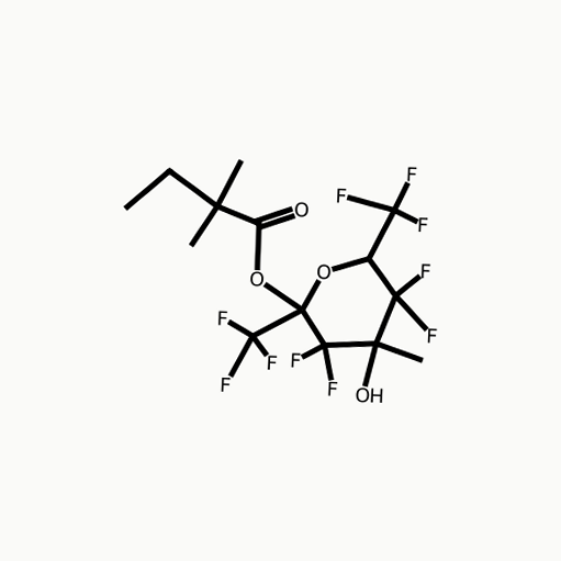 CCC(C)(C)C(=O)OC1(C(F)(F)F)OC(C(F)(F)F)C(F)(F)C(C)(O)C1(F)F